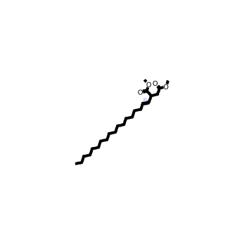 CCCCCCCCCCCCCCCC/C=C/C(CC(=O)OC)C(=O)OC